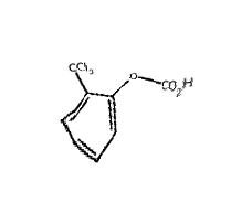 O=C(O)Oc1ccccc1C(Cl)(Cl)Cl